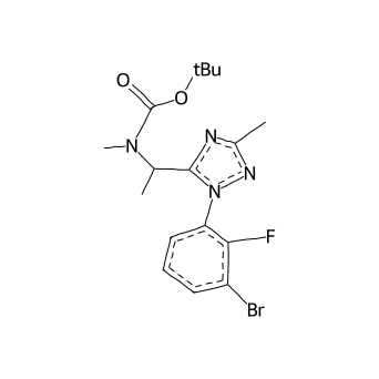 Cc1nc(C(C)N(C)C(=O)OC(C)(C)C)n(-c2cccc(Br)c2F)n1